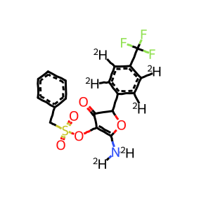 [2H]c1c([2H])c(C(F)(F)F)c([2H])c([2H])c1C1OC(N([2H])[2H])=C(OS(=O)(=O)Cc2ccccc2)C1=O